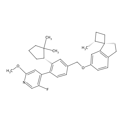 COc1cc(-c2ccc(COc3ccc4c(c3)[C@]3(CC4)CC[C@H]3C)cc2[C@@H]2CCCC2(C)C)c(F)cn1